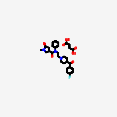 CN1CC(C(=O)N(CCN2CCC(C(=O)c3ccc(F)cc3)CC2)c2ccccc2)CC1=O.O=C(O)/C=C/C(=O)O